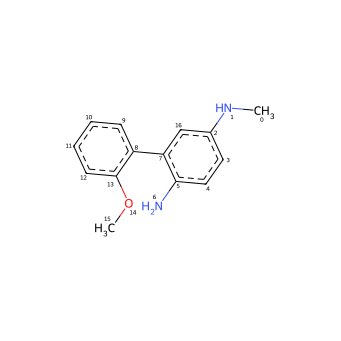 CNc1ccc(N)c(-c2ccccc2OC)c1